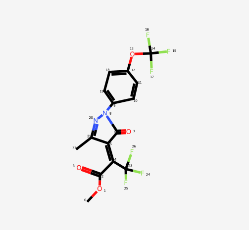 COC(=O)C(=C1C(=O)N(c2ccc(OC(F)(F)F)cc2)N=C1C)C(F)(F)F